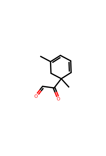 CC1=CC=CC(C)(C(=O)C=O)C1